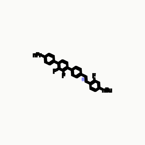 CCCCc1ccc(/C=C/c2ccc(-c3ccc(-c4ccc(CCC)cc4)c(F)c3F)cc2)c(F)c1